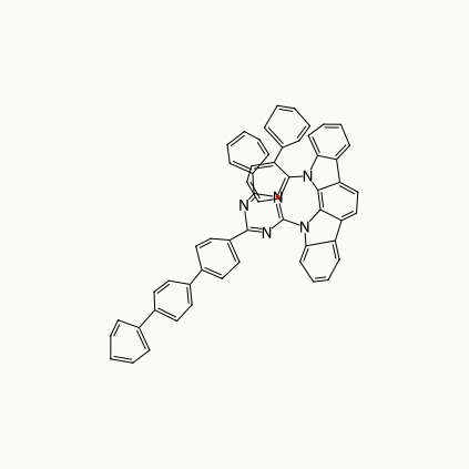 c1ccc(-c2ccc(-c3ccc(-c4nc(-c5ccccc5)nc(-n5c6ccccc6c6ccc7c8ccccc8n(-c8ccccc8-c8ccccc8)c7c65)n4)cc3)cc2)cc1